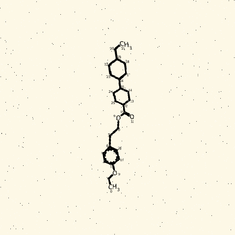 CCOc1ccc(CCOC(=O)C2CCC(C3CCC(CC)CC3)CC2)cc1